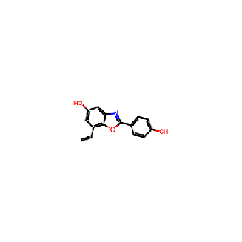 C=Cc1cc(O)cc2nc(-c3ccc(O)cc3)oc12